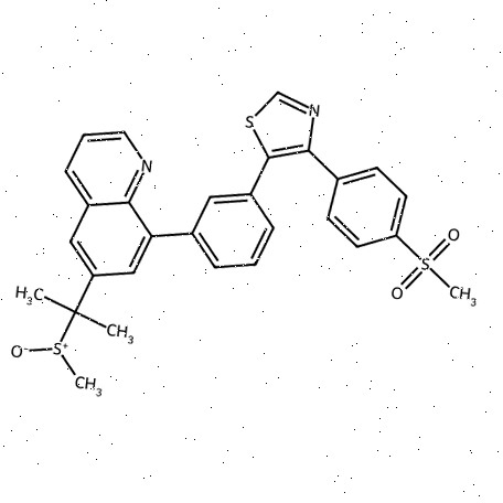 C[S+]([O-])C(C)(C)c1cc(-c2cccc(-c3scnc3-c3ccc(S(C)(=O)=O)cc3)c2)c2ncccc2c1